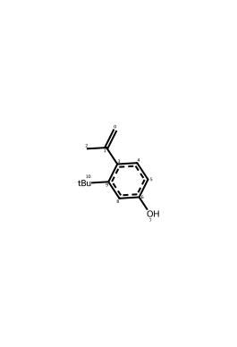 C=C(C)c1ccc(O)cc1C(C)(C)C